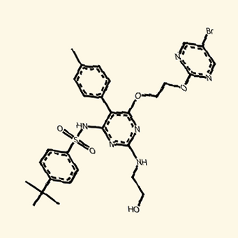 Cc1ccc(-c2c(NS(=O)(=O)c3ccc(C(C)(C)C)cc3)nc(NCCO)nc2OCCOc2ncc(Br)cn2)cc1